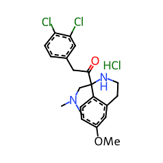 COc1ccc2c(c1)CCNC2(CN(C)C)C(=O)Cc1ccc(Cl)c(Cl)c1.Cl